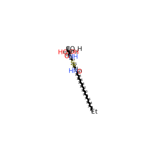 CCC=CCC=CCC=CCC=CCC=CCC=CCCC(=O)NCCSSCCNC(=O)[C@H](O)[C@@H](O)C(=O)O